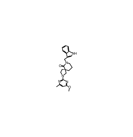 COc1cc(C)nc(N2CC[C@@]3(CCCN(Cc4c[nH]c5ccccc45)C3=O)C2)n1